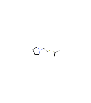 CC(C)SCCN1CCCC1